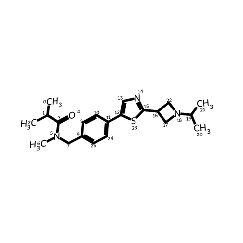 CC(C)C(=O)N(C)Cc1ccc(-c2cnc(C3CN(C(C)C)C3)s2)cc1